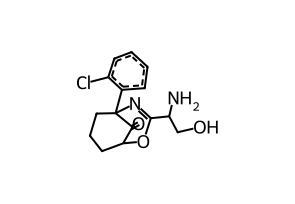 NC(CO)C1=NC2(c3ccccc3Cl)CCCC(O1)C2=O